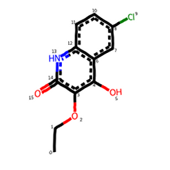 CCOc1c(O)c2cc(Cl)ccc2[nH]c1=O